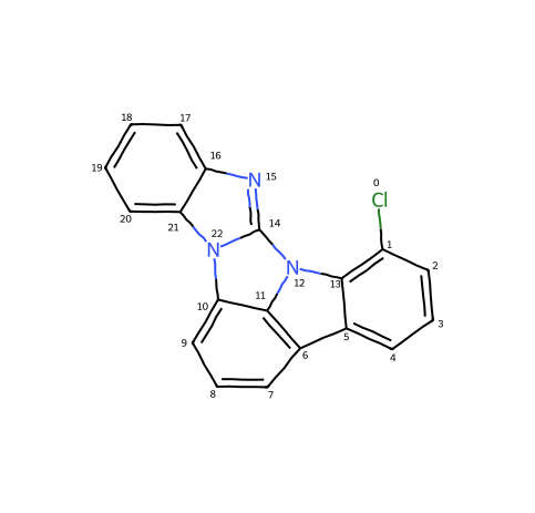 Clc1cccc2c3cccc4c3n(c12)c1nc2ccccc2n41